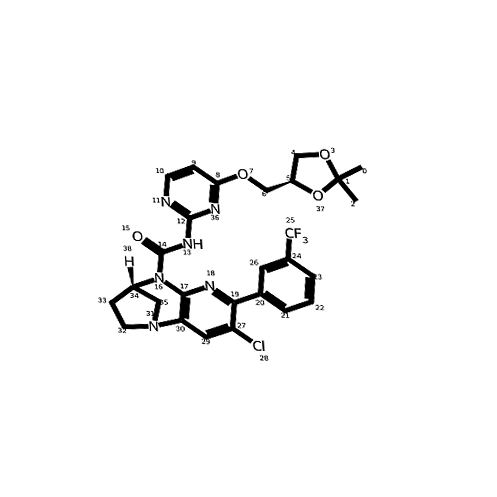 CC1(C)OC[C@H](COc2ccnc(NC(=O)N3c4nc(-c5cccc(C(F)(F)F)c5)c(Cl)cc4N4CC[C@H]3C4)n2)O1